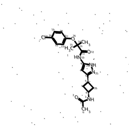 CC(=O)N[C@H]1C[C@@H](c2cc(NC(=O)C(C)(C)Oc3ccc(Cl)cc3)[nH]n2)C1